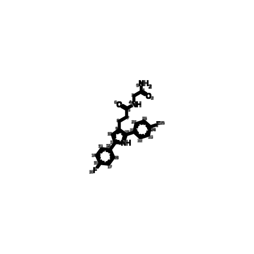 NC(=O)CNC(=O)CCc1cc(-c2ccc(F)cc2)[nH]c1-c1ccc(F)cc1